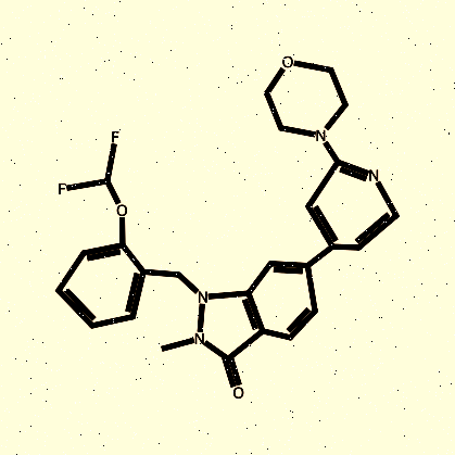 Cn1c(=O)c2ccc(-c3ccnc(N4CCOCC4)c3)cc2n1Cc1ccccc1OC(F)F